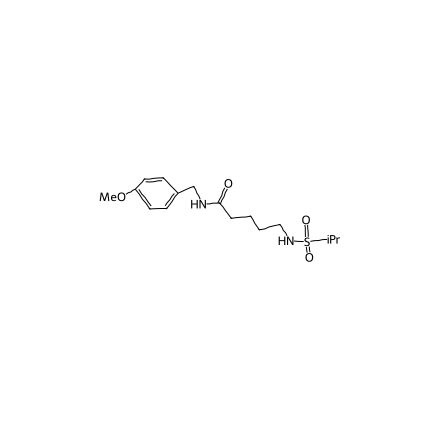 COc1ccc(CNC(=O)CCCCNS(=O)(=O)C(C)C)cc1